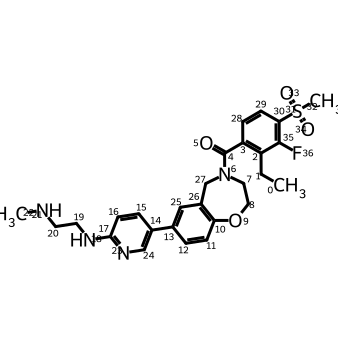 CCc1c(C(=O)N2CCOc3ccc(-c4ccc(NCCNC)nc4)cc3C2)ccc(S(C)(=O)=O)c1F